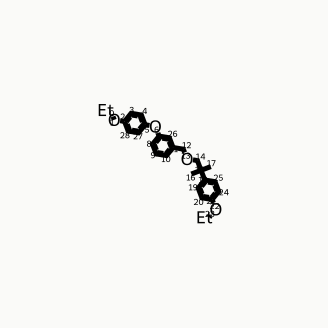 CCOc1ccc(Oc2cccc(COCC(C)(C)c3ccc(OCC)cc3)c2)cc1